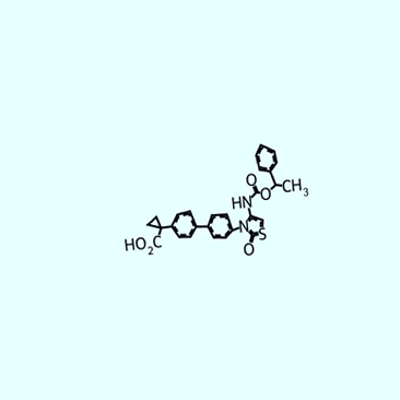 CC(OC(=O)Nc1csc(=O)n1-c1ccc(-c2ccc(C3(C(=O)O)CC3)cc2)cc1)c1ccccc1